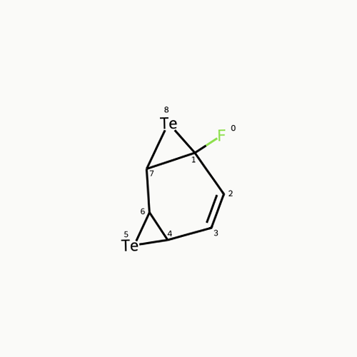 FC12C=CC3[Te]C3C1[Te]2